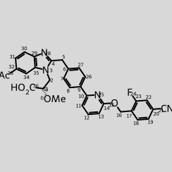 CO[C@@H](Cn1c(Cc2ccc(-c3cccc(OCc4ccc(C#N)cc4F)n3)cc2)nc2ccc(C(C)=O)cc21)C(=O)O